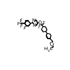 CCOCC1C=CC(C2CCC(C(F)(F)Oc3cnc(-c4ccc(C(F)(F)F)c(F)c4)nc3)CC2)CC1